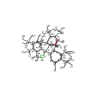 Cc1cc([Si](Cl)(c2cc(C)c([Si](C)(C)C)c([Si](C)(C)C)c2[Si](C)(C)C)c2cc(C)c([Si](C)(C)C)c([Si](C)(C)C)c2[Si](C)(C)C)c([Si](C)(C)C)c([Si](C)(C)C)c1[Si](C)(C)C